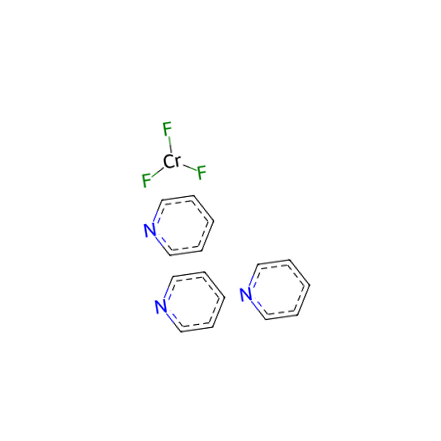 [F][Cr]([F])[F].c1ccncc1.c1ccncc1.c1ccncc1